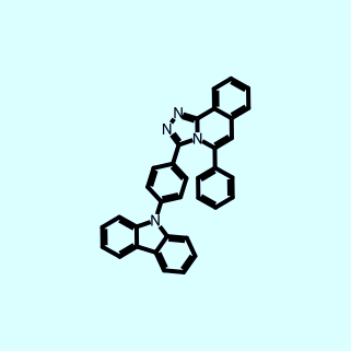 c1ccc(-c2cc3ccccc3c3nnc(-c4ccc(-n5c6ccccc6c6ccccc65)cc4)n23)cc1